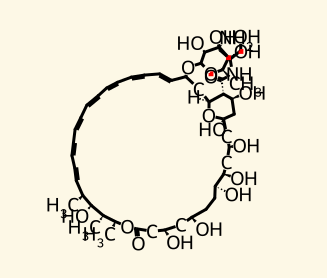 C[C@@H]1[C@H](O)[C@@H](C)/C=C/C=C/C=C/C=C/C=C/C=C/C=C/C(OC2O[C@H](C)[C@@H](O)[C@H](N)[C@H]2O)C[C@@H]2O[C@](O)(C[C@@H](O)C[C@@H](O)[C@H](O)CC[C@@H](O)C[C@@H](O)CC(=O)O[C@H]1C)C[C@H](O)[C@H]2C(=O)NC(CO)CO